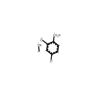 CC#N.O=C(O)c1ccc(Cl)cc1Cl